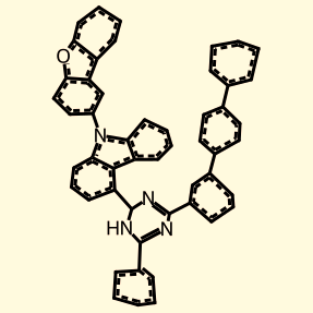 c1ccc(C2=NC(c3cccc(-c4ccc(-c5ccccc5)cc4)c3)=NC(c3cccc4c3c3ccccc3n4-c3ccc4oc5ccccc5c4c3)N2)cc1